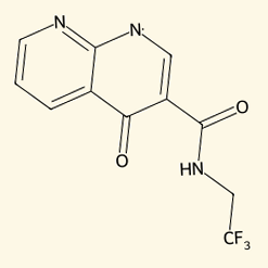 O=C(NCC(F)(F)F)C1=C[N]c2ncccc2C1=O